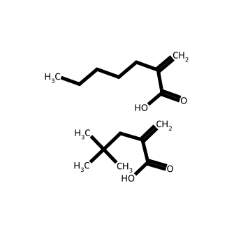 C=C(CC(C)(C)C)C(=O)O.C=C(CCCCC)C(=O)O